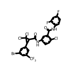 O=C(Nc1ccc(F)cc1F)c1cc(NC(=O)C2C(c3cc(Br)cc(C(F)(F)F)c3)C2(Cl)Cl)ccc1Cl